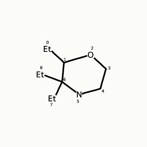 CCC1OCC[N]C1(CC)CC